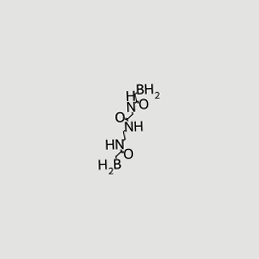 BCC(=O)NCCNC(=O)CNC(=O)CB